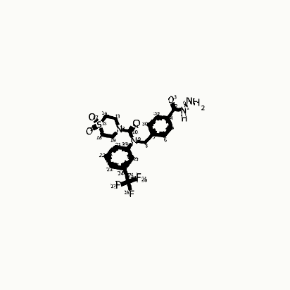 NNC(=O)c1ccc(CN(C(=O)N2CCS(=O)(=O)CC2)c2cccc(C(F)(F)F)c2)cc1